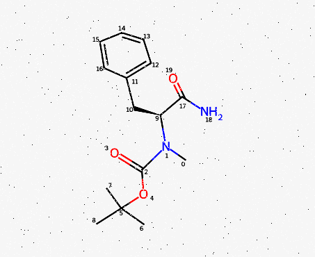 CN(C(=O)OC(C)(C)C)[C@@H](Cc1ccccc1)C(N)=O